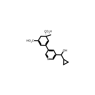 C[C@@]1(C(=O)O)C=C(c2cncc(C(O)C3CC3)c2)C=C(C(=O)O)C1